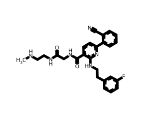 CNCCNC(=O)CNC(=O)c1ccc(-c2ccccc2C#N)nc1NCCc1cccc(F)c1